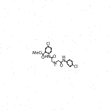 COC(=O)c1cc(Cl)ccc1NC(=O)CN(C)CC(=O)Nc1ccc(Cl)cc1